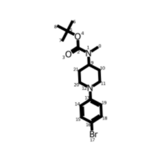 CN(C(=O)OC(C)(C)C)C1CCN(c2ccc(Br)cc2)CC1